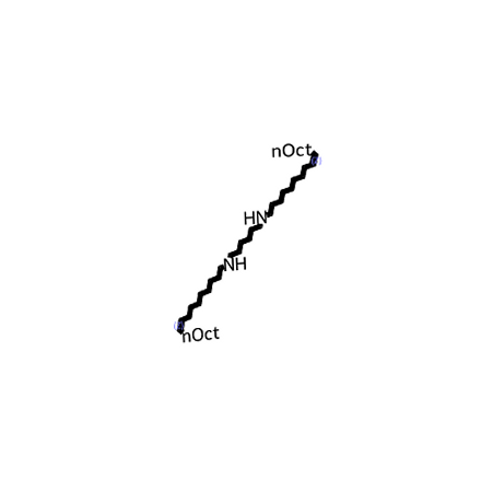 CCCCCCCC/C=C\CCCCCCCCNCCCCCCNCCCCCCCC/C=C\CCCCCCCC